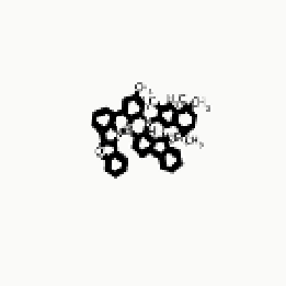 Cc1cc2c3c(c1)N(c1cc4c(cc1C)C(C)(C)CCC4(C)C)c1c(ccc4c1C(C)(C)c1ccccc1-4)B3n1c3c-2cccc3c2oc3ccccc3c21